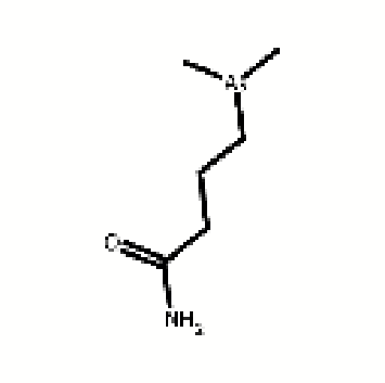 C[As](C)CCCC(N)=O